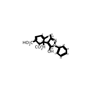 CC1=CC=C(C(=O)O)CC1(C(=O)O)c1c(C)nn(-c2ccccc2)c1O